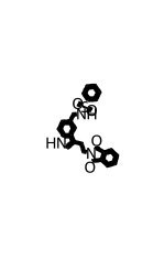 O=C1c2ccccc2C(=O)N1CCc1c[nH]c2ccc(CNS(=O)(=O)c3ccccc3)cc12